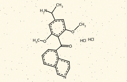 COc1cc(C(C)N)cc(OC)c1C(=O)c1cccc2cnccc12.Cl.Cl